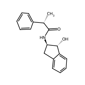 C[C@H](C(=O)N[C@@H]1Cc2ccccc2[C@H]1O)c1ccccc1